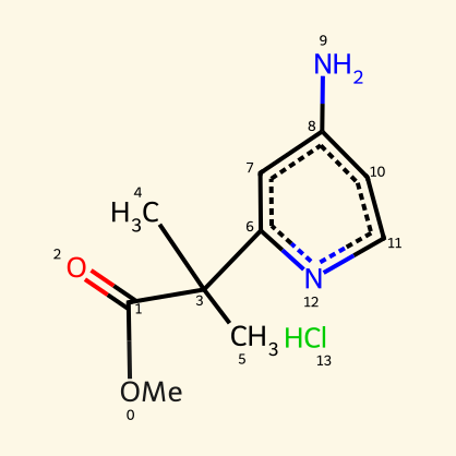 COC(=O)C(C)(C)c1cc(N)ccn1.Cl